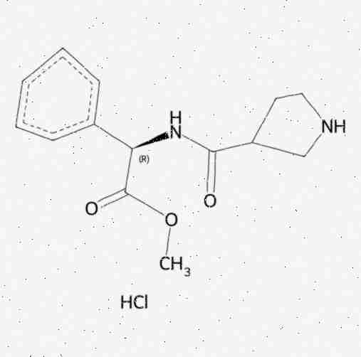 COC(=O)[C@H](NC(=O)C1CCNC1)c1ccccc1.Cl